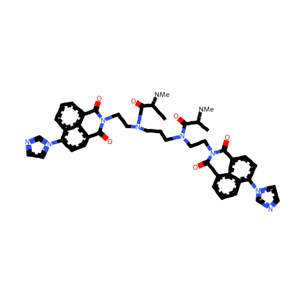 CNC(C)C(=O)N(CCCN(CCN1C(=O)c2cccc3c(-n4ccnc4)ccc(c23)C1=O)C(=O)C(C)NC)CCN1C(=O)c2cccc3c(-n4ccnc4)ccc(c23)C1=O